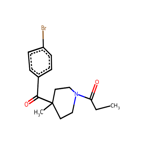 CCC(=O)N1CCC(C)(C(=O)c2ccc(Br)cc2)CC1